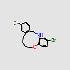 Clc1ccc2c(c1)CCCCOc1ccc(Br)cc1NC2